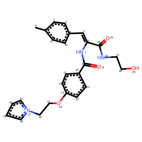 Cc1ccc(/C=C(\NC(=O)c2ccc(OCCn3cccc3)cc2)C(=O)NCCO)cc1